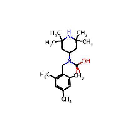 Cc1cc(C)c(CN(C(=O)O)C2CC(C)(C)NC(C)(C)C2)c(C)c1